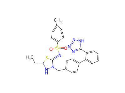 CCC1NN(Cc2ccc(-c3ccccc3-c3nnn[nH]3)cc2)C(=NS(=O)(=O)c2ccc(C)cc2)S1